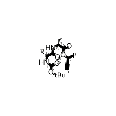 C#CC(I)OC(=O)[C@H](C)NC(=O)[C@@H](C)NC(=O)OC(C)(C)C